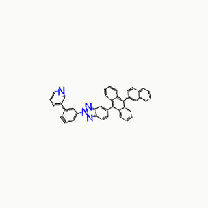 c1cncc(-c2cccc(-n3nc4ccc(-c5c6ccccc6c(-c6ccc7ccccc7c6)c6ccccc56)cc4n3)c2)c1